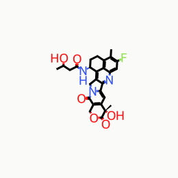 Cc1c(F)cc2nc3c(c4c2c1CC[C@@H]4NC(=O)CC(C)O)Cn1c-3cc2c(c1=O)COC(=O)[C@@]2(C)O